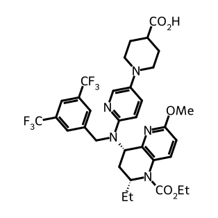 CCOC(=O)N1c2ccc(OC)nc2[C@@H](N(Cc2cc(C(F)(F)F)cc(C(F)(F)F)c2)c2ccc(N3CCC(C(=O)O)CC3)cn2)C[C@H]1CC